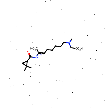 CN(CCCCC/C=C(/NC(=O)C1CC1(C)C)C(=O)O)CC(=O)O